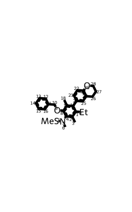 CCc1c(C)c(N(C)SC)c(OCc2ccccc2)c(C)c1-c1ccc2c(c1)CCCO2